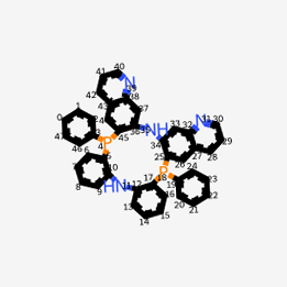 c1ccc(P2c3ccccc3Nc3ccccc3P(c3ccccc3)c3cc4cccnc4cc3Nc3cc4ncccc4cc32)cc1